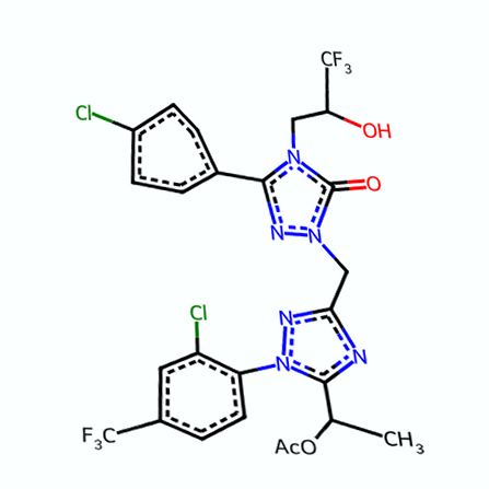 CC(=O)OC(C)c1nc(Cn2nc(-c3ccc(Cl)cc3)n(CC(O)C(F)(F)F)c2=O)nn1-c1ccc(C(F)(F)F)cc1Cl